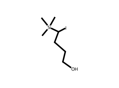 C[Si](C)(C)C(I)CCCO